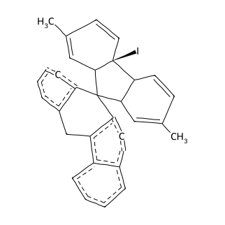 CC1=CC2C(C=C1)[C@@]1(I)C=CC(C)=CC1C21c2ccccc2Cc2c1ccc1ccccc21